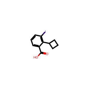 O=C(O)c1cccc(I)c1C1CCC1